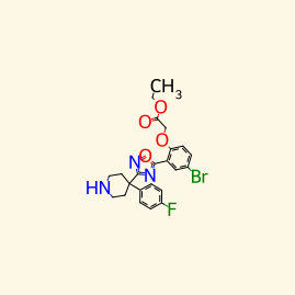 CCOC(=O)COc1ccc(Br)cc1-c1nc(C2(c3ccc(F)cc3)CCNCC2)no1